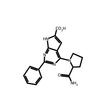 NC(=O)C1CCCN1c1nc(-c2ccccc2)nc2[nH]c(C(=O)O)cc12